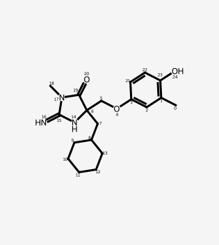 Cc1cc(OCC2(CC3CCCCC3)NC(=N)N(C)C2=O)ccc1O